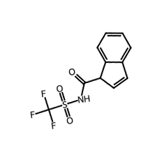 O=C(NS(=O)(=O)C(F)(F)F)C1C=Cc2ccccc21